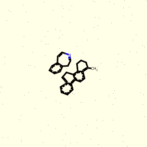 C1=Cc2ccccc2CC=N1.CC1=c2ccc3c(c2CCC1)CC=c1ccccc1=3